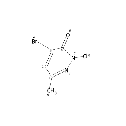 Cc1cc(Br)c(=O)n(Cl)n1